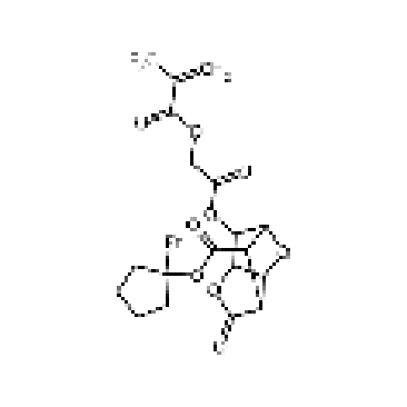 C=C(C(=O)OCC(=O)OC1C2OC(=O)C3C2OC1C3C(=O)OC1(CC)CCCC1)C(F)(F)F